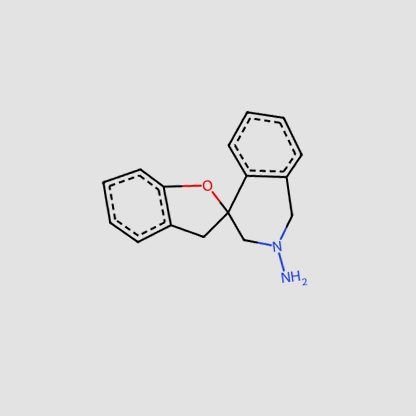 NN1Cc2ccccc2C2(Cc3ccccc3O2)C1